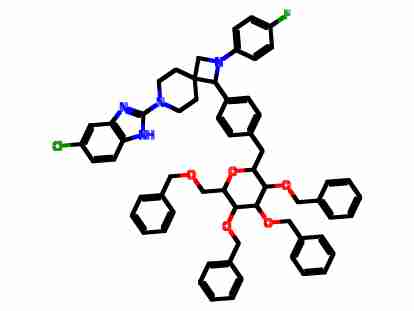 Fc1ccc(N2CC3(CCN(c4nc5cc(Cl)ccc5[nH]4)CC3)C2c2ccc(CC3OC(COCc4ccccc4)C(OCc4ccccc4)C(OCc4ccccc4)C3OCc3ccccc3)cc2)cc1